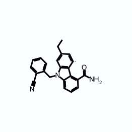 CCc1c[c]c2c3c(C(N)=O)cccc3n(Cc3ccccc3C#N)c2c1